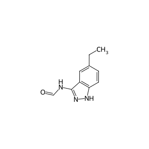 CCc1ccc2[nH]nc(NC=O)c2c1